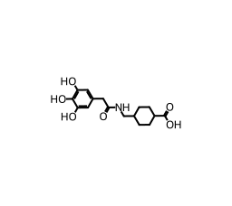 O=C(Cc1cc(O)c(O)c(O)c1)NCC1CCC(C(=O)O)CC1